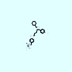 CCOP(=O)(Cc1ccc(NC(=O)CCc2oc(C3CCCCC3)nc2-c2ccc(Cl)cc2)cc1)OCC